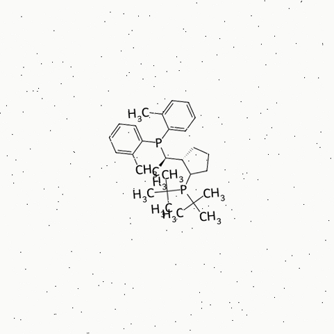 Cc1ccccc1P(c1ccccc1C)[C@H](C)[C@@H]1CCCC1P(C(C)(C)C)C(C)(C)C